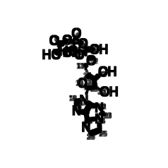 O=P(O)(O)OP(=O)(O)OP(=O)(O)OC[C@H]1O[C@@H](n2cnc3c2ncn2ccnc32)[C@@H](O)C1O